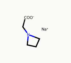 O=C([O-])CN1CCC1.[Na+]